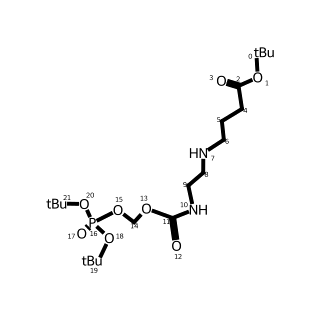 CC(C)(C)OC(=O)CCCNCCNC(=O)OCOP(=O)(OC(C)(C)C)OC(C)(C)C